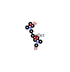 CCCCCCCCC1(C)c2cc(-c3ccc(N(c4ccc(Br)cc4)c4ccccc4-c4ccccc4)cc3)ccc2-c2ccc(N(c3ccc(Br)cc3)c3ccccc3-c3ccccc3)cc21